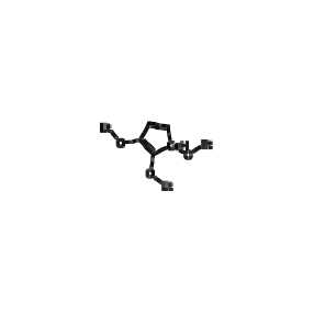 CCOC1=[C](OCC)[GeH]([O]CC)[CH]=C1